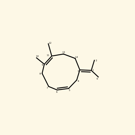 CC(C)=C1CC=CCCC(C)=C(C)CC1